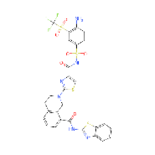 Nc1ccc(S(=O)(=O)NC(=O)c2csc(N3CCc4cccc(C(=O)Nc5nc6ccccc6s5)c4C3)n2)cc1S(=O)(=O)C(F)(F)F